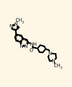 CN1CCN(CC2CCC(C(=O)Nc3cc4cc(-c5cnn(C)c5)ccc4nn3)CC2)CC1